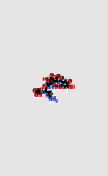 CC(C)(O/N=C(\C(=O)N[C@H]1CON(C2(C(=O)O)CC(NC(=O)c3cc(=O)c(O)cn3O)C(=O)O2)C1=O)c1csc(N)n1)C(=O)O